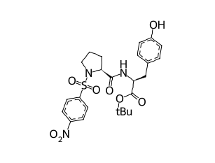 CC(C)(C)OC(=O)[C@H](Cc1ccc(O)cc1)NC(=O)[C@@H]1CCCN1S(=O)(=O)c1ccc([N+](=O)[O-])cc1